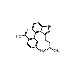 CN(C)CCc1c[nH]c2cccc(-c3cc(F)ccc3C(=O)O)c12